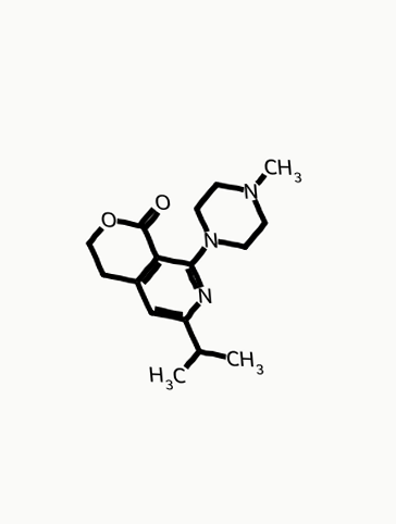 CC(C)c1cc2c(c(N3CCN(C)CC3)n1)C(=O)OCC2